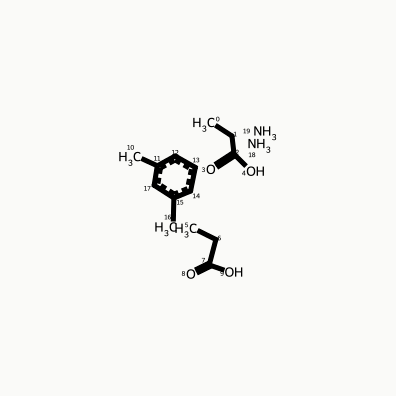 CCC(=O)O.CCC(=O)O.Cc1cccc(C)c1.N.N